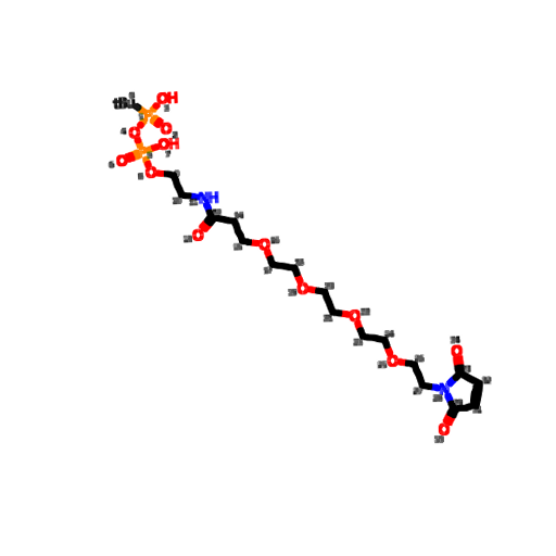 CC(C)(C)P(=O)(O)OP(=O)(O)OCCNC(=O)CCOCCOCCOCCOCCN1C(=O)C=CC1=O